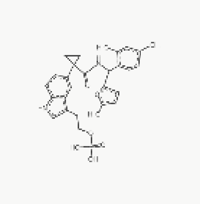 Cc1ccc(C(NC(=O)C2(c3ccc4[nH]cc(CCOP(=O)(O)O)c4c3)CC2)c2ccc(C)o2)c(C)c1